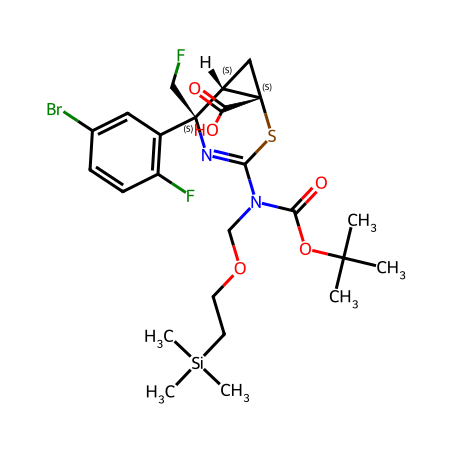 CC(C)(C)OC(=O)N(COCC[Si](C)(C)C)C1=N[C@](CF)(c2cc(Br)ccc2F)[C@@H]2C[C@]2(C(=O)O)S1